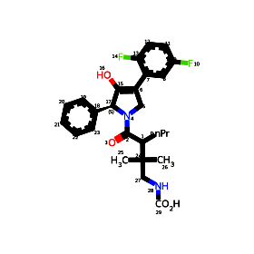 CCCC(C(=O)N1CC(c2cc(F)ccc2F)=C(O)[C@@H]1c1ccccc1)C(C)(C)CNC(=O)O